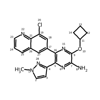 Cn1ccc(-c2nc(N)c(OC3CCC3)nc2-c2cc(Cl)c3ncccc3c2)n1